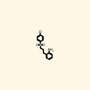 Nc1ccccc1CCCS(=O)(=O)c1ccc(Cl)cc1